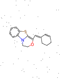 C1=C/C(=C/C2=C3Sc4ccccc4N3CCO2)CCC1